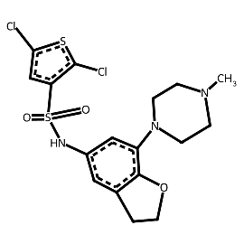 CN1CCN(c2cc(NS(=O)(=O)c3cc(Cl)sc3Cl)cc3c2OCC3)CC1